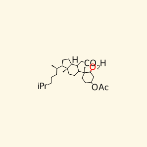 CC(=O)O[C@H]1CC[C@](C)(C2CC[C@]3(C)[C@@H]([C@H](C)CCCC(C)C)CC[C@H]3C2CC(=O)O)C(=O)C1